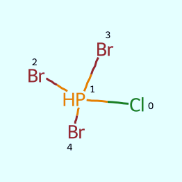 Cl[PH](Br)(Br)Br